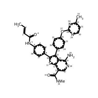 CC=CC(=O)Nc1ccc(-c2sc3c(C(=O)NC)cnc(N)c3c2-c2ccc(Oc3nccc(C)n3)cc2)cc1